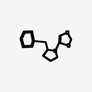 C1=C(N2CCCC2Cc2ccccc2)OCO1